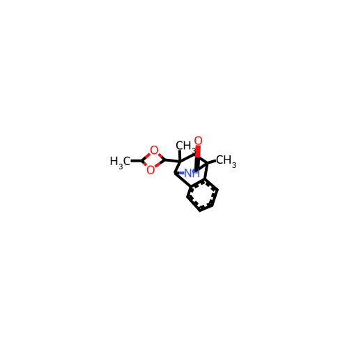 CC1OC(C2(C)CC3(C)C(=O)NC2c2ccccc23)O1